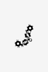 O=C(N1CCN(CC2CCCCC2)CC1)N1CCN(CC2CCCCC2)CC1